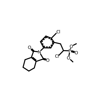 COP(=O)(OC)C(Cl)Cc1cc(N2C(=O)C3=C(CCCC3)C2=O)ccc1Cl